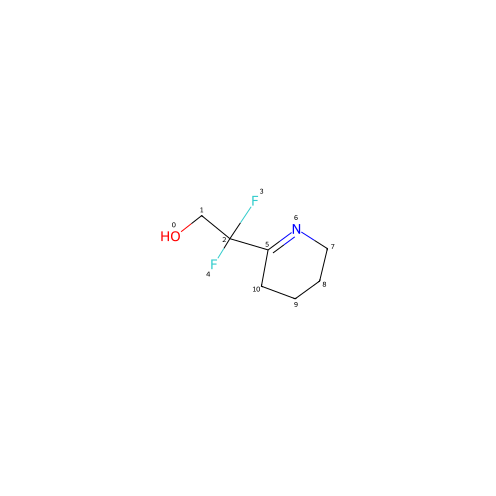 OCC(F)(F)C1=NCCCC1